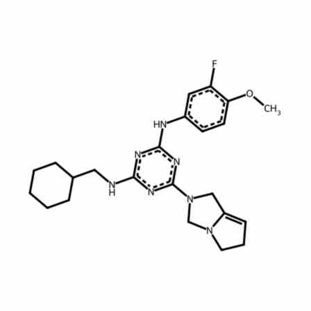 COc1ccc(Nc2nc(NCC3CCCCC3)nc(N3CC4=CCCN4C3)n2)cc1F